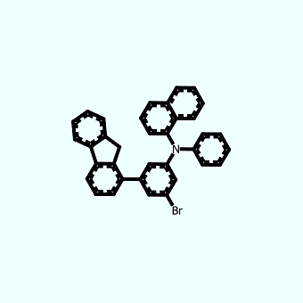 Brc1cc(-c2cccc3c2Cc2ccccc2-3)cc(N(c2ccccc2)c2cccc3ccccc23)c1